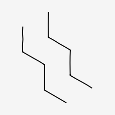 CCCCC.CCCCC